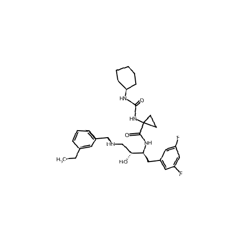 CCc1cccc(CNC[C@@H](O)[C@H](Cc2cc(F)cc(F)c2)NC(=O)C2(NC(=O)NC3CCCCC3)CC2)c1